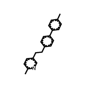 Cc1ccc(-c2ccc(CCc3ccc(C)nc3)cc2)cc1